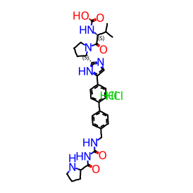 CC(C)[C@H](NC(=O)O)C(=O)N1CCC[C@H]1c1ncc(-c2ccc(-c3ccc(CNC(=O)NC(=O)C4CCCN4)cc3)cc2)[nH]1.Cl.Cl